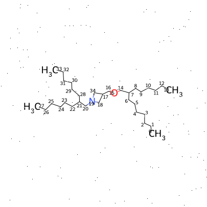 CCCCCCCC(CCCCCC)COCC1CN(CC(CCCCCC)CCCCCC)C1